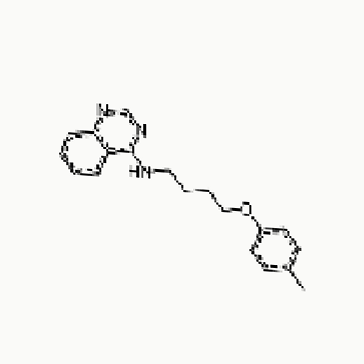 Cc1ccc(OCCCCNc2ncnc3ccccc23)cc1